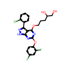 OCC(O)CCCOc1nc(Oc2ccc(F)cc2F)nc2[nH]nc(-c3ccccc3Cl)c12